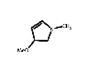 COC1[CH]N(C)C=C1